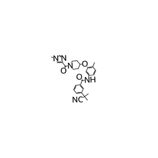 Cc1ccc(NC(=O)c2cccc(C(C)(C)C#N)c2)cc1OC1CCN(C(=O)c2cn(C)cn2)CC1